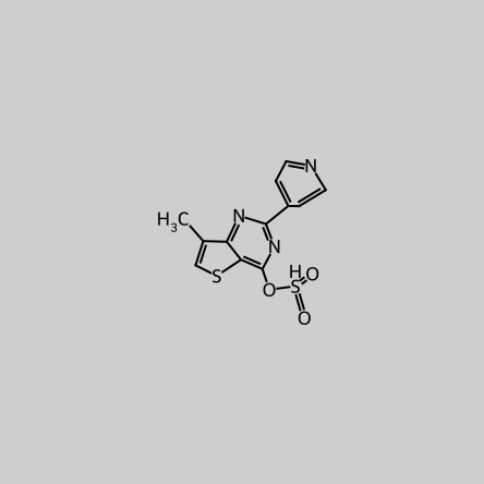 Cc1csc2c(O[SH](=O)=O)nc(-c3ccncc3)nc12